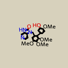 COc1ccc(-c2c(Cn3c(=O)[nH]c4cnccc43)cc(OC)c(OC)c2OC)cc1O